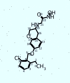 CCc1cccc(Cl)c1COc1ccc2c(c1)OCC(NCC(=O)NO)C2